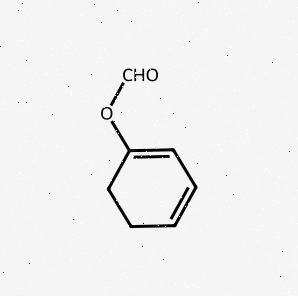 O=COC1=CC=CCC1